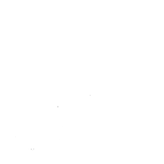 CSC1(C2CC(=O)C(CCC=NOCCC=Cc3ccc(Cl)cc3)=C(O)C2)CC1